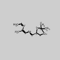 C\C=N/C(C)=C\N=C\[C@@H]1COC(C)(C)O1